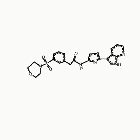 O=C(Cc1cccc(S(=O)(=O)N2CCOCC2)c1)Nc1csc(-c2c[nH]c3ncccc23)n1